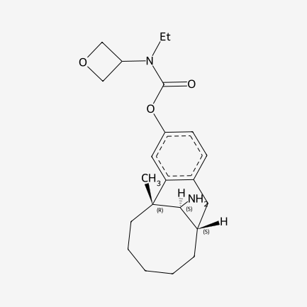 CCN(C(=O)Oc1ccc2c(c1)[C@@]1(C)CCCCC[C@@H](C2)[C@@H]1N)C1COC1